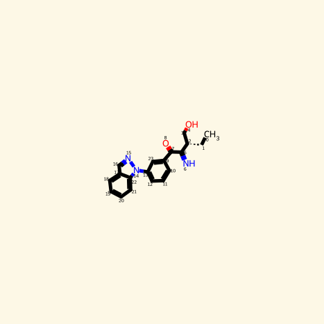 CC[C@@H](CO)C(=N)C(=O)c1cccc(-n2ncc3c[c]ccc32)c1